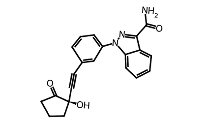 NC(=O)c1nn(-c2cccc(C#C[C@]3(O)CCCC3=O)c2)c2ccccc12